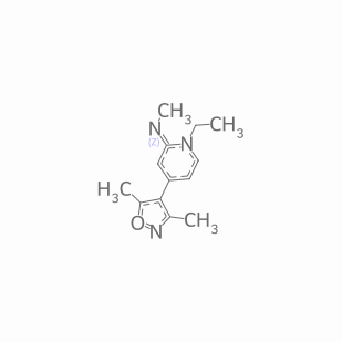 CCn1ccc(-c2c(C)noc2C)c/c1=N/C